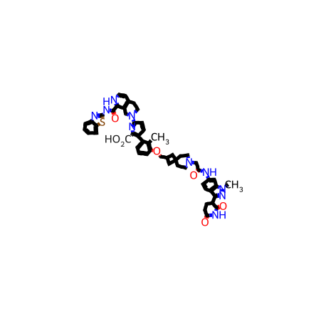 Cc1c(OCC2CC3(CCN(CC(=O)Nc4ccc5c(C6CCC(=O)NC6=O)nn(C)c5c4)CC3)C2)cccc1-c1ccc(N2CCc3ccnc(C(=O)Nc4nc5ccccc5s4)c3C2)nc1C(=O)O